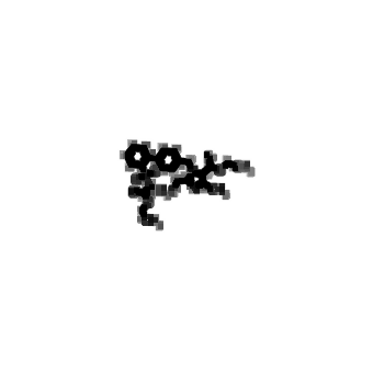 CCOC(=O)NS(=O)(=O)c1ccccc1-c1ccc(Cn2c(CC)nc(C)c2C(=S)OCC)cc1